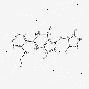 CCOc1ccccc1-c1nc2c(C)nn(Cc3c(C)noc3C)c2c(=O)[nH]1